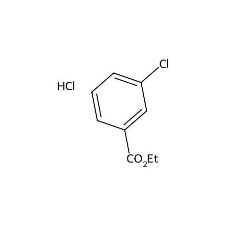 CCOC(=O)c1cccc(Cl)c1.Cl